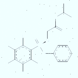 CC(C)OC(=O)CN[P@@](=O)(Oc1ccccc1)c1c(F)c(F)c(F)c(F)c1F